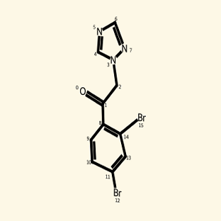 O=C(Cn1cncn1)c1ccc(Br)cc1Br